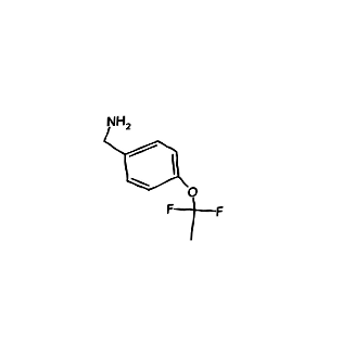 CC(F)(F)Oc1ccc(CN)cc1